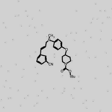 CN(CC=Cc1cccc(C#N)c1)c1ccc(OC2CCN(C(=O)OC(C)(C)C)CC2)cc1